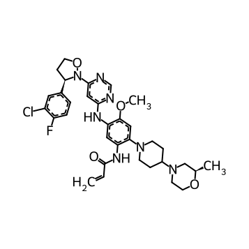 C=CC(=O)Nc1cc(Nc2cc(N3OCC[C@@H]3c3ccc(F)c(Cl)c3)ncn2)c(OC)cc1N1CCC(N2CCO[C@H](C)C2)CC1